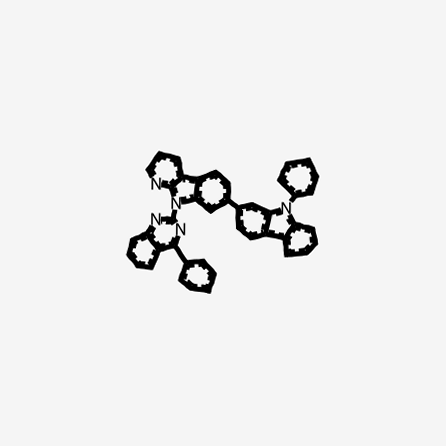 c1ccc(-c2nc(-n3c4cc(-c5ccc6c7ccccc7n(-c7ccccc7)c6c5)ccc4c4cccnc43)nc3ccccc23)cc1